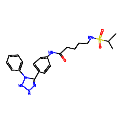 CC(C)S(=O)(=O)NCCCCC(=O)Nc1ccc(C2=NNNN2c2ccccc2)cc1